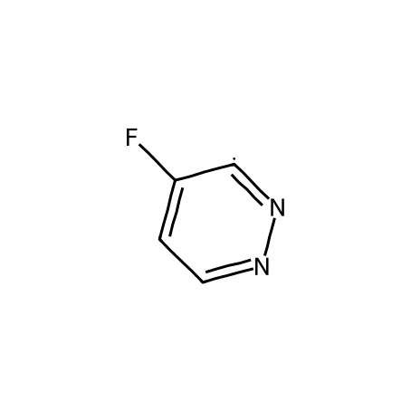 Fc1[c]nncc1